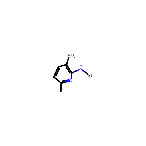 CCNc1nc(C)ccc1[N+](=O)[O-]